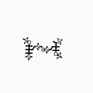 CC(C(C)(CC[Si](C)(C)OC[Si](C)(C)CCC(C)(C(C)(C)O[Si](C)(C)C)C(C)(C)[Si](C)(C)C)C(C)(C)O[Si](C)(C)C)[Si](C)(C)C